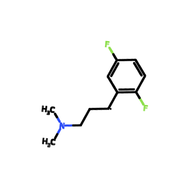 CN(C)CC[CH]c1cc(F)ccc1F